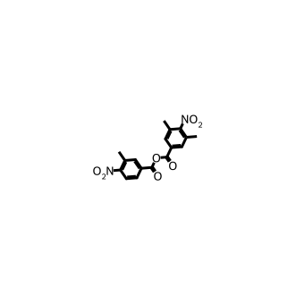 Cc1cc(C(=O)OC(=O)c2cc(C)c([N+](=O)[O-])c(C)c2)ccc1[N+](=O)[O-]